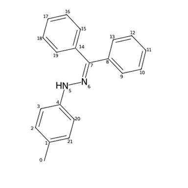 Cc1ccc(NN=C(c2ccccc2)c2ccccc2)cc1